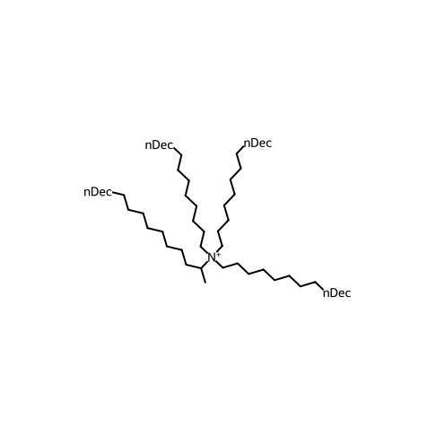 CCCCCCCCCCCCCCCCCCC(C)[N+](CCCCCCCCCCCCCCCCCC)(CCCCCCCCCCCCCCCCCC)CCCCCCCCCCCCCCCCCC